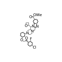 COC(=O)c1ccc2nc3n(c2c1)C(C1CCO1)C1CN(c2cccc4c2O[C@@H](c2ccc(Cl)cc2F)CO4)CCN1C3